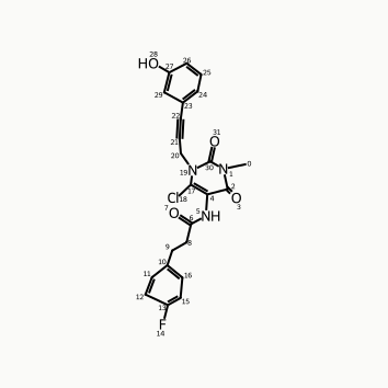 Cn1c(=O)c(NC(=O)CCc2ccc(F)cc2)c(Cl)n(CC#Cc2cccc(O)c2)c1=O